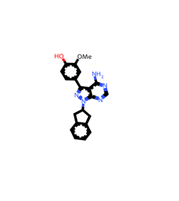 COc1cc(-c2nn(C3Cc4ccccc4C3)c3ncnc(N)c23)ccc1O